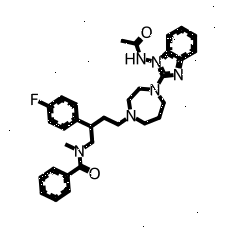 CC(=O)Nn1c(N2CCCN(CCC(CN(C)C(=O)c3ccccc3)c3ccc(F)cc3)CC2)nc2ccccc21